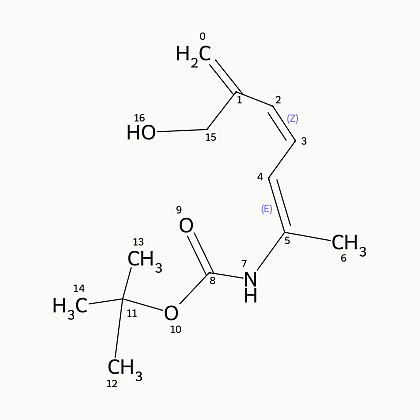 C=C(/C=C\C=C(/C)NC(=O)OC(C)(C)C)CO